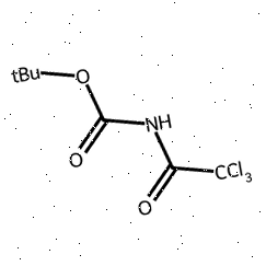 CC(C)(C)OC(=O)NC(=O)C(Cl)(Cl)Cl